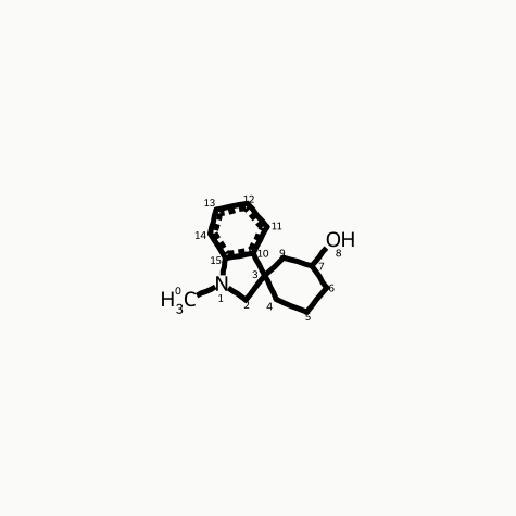 CN1CC2(CCCC(O)C2)c2ccccc21